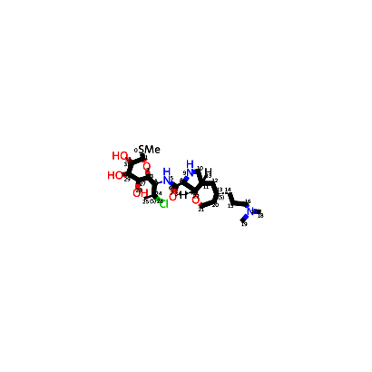 CSC1OC([C@H](NC(=O)[C@H]2NC[C@@H]3C[C@H](CCCN(C)C)CCO[C@H]32)[C@H](C)Cl)C(O)C(O)C1O